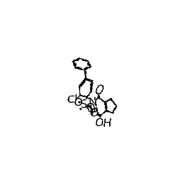 CS(=O)(=O)C1(NC(=O)C2=C(C(=O)O)CCC2)C=CC(c2ccccc2)=CC1Cl